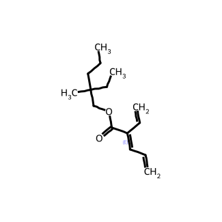 C=C/C=C(\C=C)C(=O)OCC(C)(CC)CCC